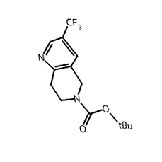 CC(C)(C)OC(=O)N1CCc2ncc(C(F)(F)F)cc2C1